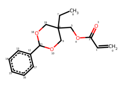 C=CC(=O)OCC1(CC)COC(c2ccccc2)OC1